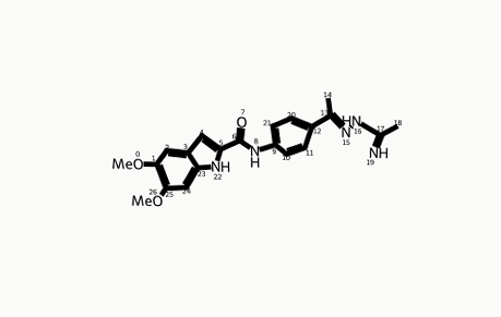 COc1cc2cc(C(=O)Nc3ccc(/C(C)=N/NC(C)=N)cc3)[nH]c2cc1OC